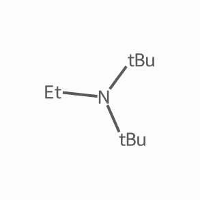 CCN(C(C)(C)C)C(C)(C)C